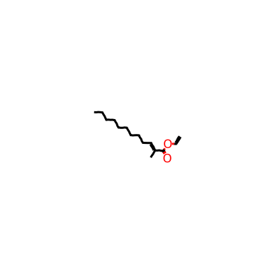 C=COC(=O)C(C)=CCCCCCCCCC